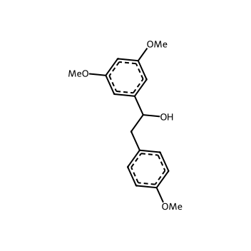 COc1ccc(CC(O)c2cc(OC)cc(OC)c2)cc1